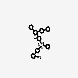 N#Cc1ccccc1-c1ccc(-c2nc(-c3ccccc3)nc(-c3ccc4c(c3)oc3cc(-c5ccccc5)cc(-c5ccc(-c6ccccc6)cc5)c34)n2)cc1